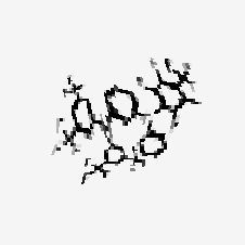 Fc1c(F)c(C(F)(F)F)c(F)c(F)c1N(c1ccccc1)c1cccc(N(c2cc(C(F)(F)F)cc(C(F)(F)F)c2)c2cc(C(F)(F)F)cc(C(F)(F)F)c2)c1